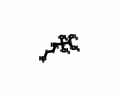 CC(C)C(C)(C)NCCO